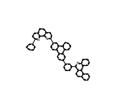 c1ccc(-c2ccc3ccc4ccc(-c5ccc6c7ccc(-c8cccc(-c9nc%10ccccc%10c%10c9ccc9ccccc9%10)c8)cc7c7ccccc7c6c5)nc4c3n2)cc1